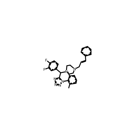 Cc1cccc(C)c1-n1nnnc1C(c1ccc(F)c(F)c1)N1CCN(CC=Cc2ccccc2)CC1